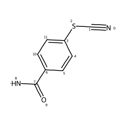 N#CSc1ccc(C([NH])=O)cc1